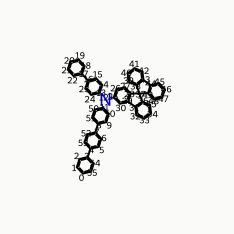 c1ccc(-c2ccc(-c3ccc(N(c4ccc(-c5ccccc5)cc4)c4ccc5c(c4)-c4ccccc4C54c5ccccc5-c5ccccc54)cc3)cc2)cc1